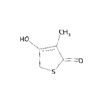 CC1=C(O)CSC1=O